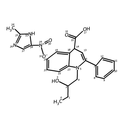 CCC(O)CN1C(c2ccccc2)=CC(C(=O)O)c2ccccc21.Cc1ncc([N+](=O)[O-])[nH]1